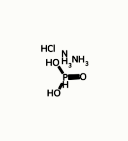 Cl.N.N.O=[PH](O)O